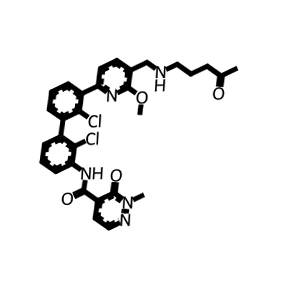 COc1nc(-c2cccc(-c3cccc(NC(=O)c4ccnn(C)c4=O)c3Cl)c2Cl)ccc1CNCCCC(C)=O